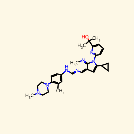 C\N=C1/C(=C\N=C\Nc2ccc(N3CCN(C)CC3)c(C)c2)C=C(C2CC2)N1c1cccc(C(C)(C)O)n1